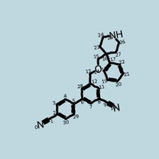 N#Cc1ccc(-c2cc(C#N)cc(COCC3(c4ccccc4)CCNCC3)c2)cc1